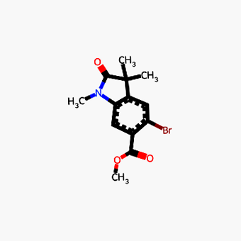 COC(=O)c1cc2c(cc1Br)C(C)(C)C(=O)N2C